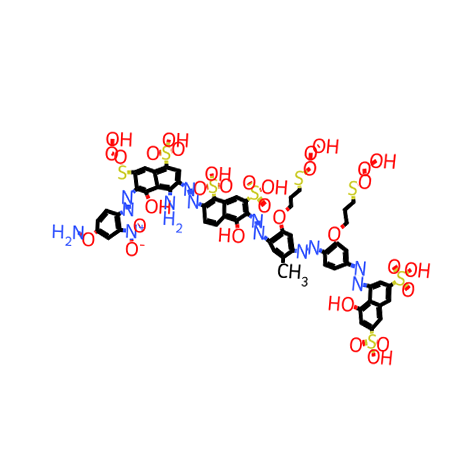 Cc1cc(N=Nc2c(S(=O)(=O)O)cc3c(S(=O)(=O)O)c(N=Nc4cc(S(=O)(=O)O)c5cc(SOOO)c(N=Nc6ccc(ON)cc6[N+](=O)[O-])c(O)c5c4N)ccc3c2O)c(OCCCSOOO)cc1N=Nc1ccc(N=Nc2cc(S(=O)(=O)O)cc3cc(S(=O)(=O)O)cc(O)c23)cc1OCCCSOOO